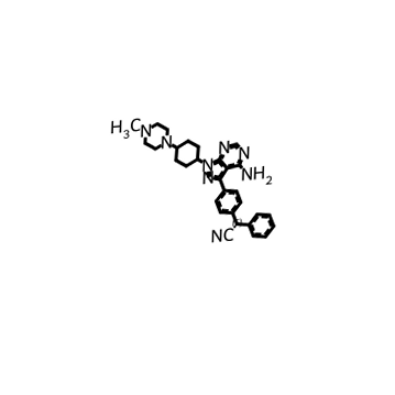 CN1CCN(C2CCC(n3nc(-c4ccc([C@@H](C#N)c5ccccc5)cc4)c4c(N)ncnc43)CC2)CC1